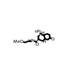 CCCN1C[C@H](C(=O)NCCCOC)C[C@@H]2CC(=O)CC[C@H]21